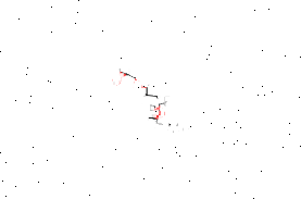 CC[Si](CC)(CCCOCC1CO1)OC(C)OC